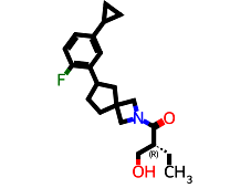 CC[C@H](CO)C(=O)N1CC2(CCC(c3cc(C4CC4)ccc3F)C2)C1